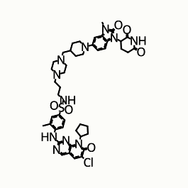 Cc1cc(S(=O)(=O)NCCCN2CCN(CC3CCN(c4ccc5c(c4)n(C)c(=O)n5C4CCC(=O)NC4=O)CC3)CC2)ccc1Nc1ncc2cc(Cl)c(=O)n(C3CCCC3)c2n1